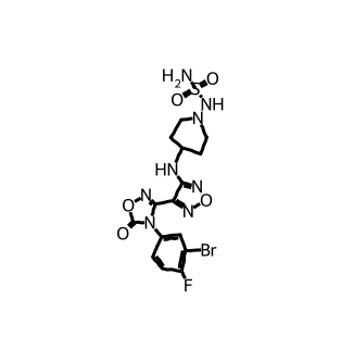 NS(=O)(=O)NN1CCC(Nc2nonc2-c2noc(=O)n2-c2ccc(F)c(Br)c2)CC1